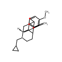 C=C1C[C@@]23CCN(CC4CC4)[C@H](Cc4ccc(OC)cc42)C3C2CC12